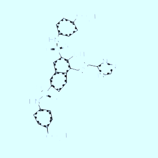 O=C(O)c1ccc(NS(=O)(=O)c2ccc3c(/N=N/c4nnc[nH]4)c(O)c(S(=O)(=O)Nc4ccc(C(=O)O)cc4)cc3c2)cc1